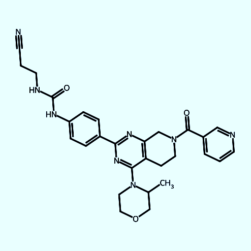 CC1COCCN1c1nc(-c2ccc(NC(=O)NCCC#N)cc2)nc2c1CCN(C(=O)c1cccnc1)C2